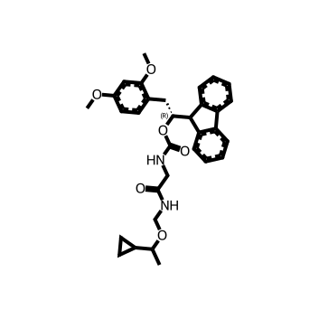 COc1ccc(C[C@@H](OC(=O)NCC(=O)NCOC(C)C2CC2)C2c3ccccc3-c3ccccc32)c(OC)c1